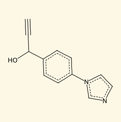 C#CC(O)c1ccc(-n2ccnc2)cc1